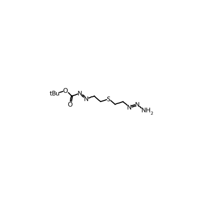 CC(C)(C)OC(=O)N=NCCSCCN=NN